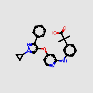 CC(C)(C(=O)O)c1cccc(Nc2cc(Oc3cn(C4CC4)nc3-c3ccccc3)ccn2)c1